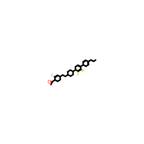 CCCC1=CCC(C2=CCC(C3CCC(CCC4C=C(F)C(C5CO5)CC4)CC3)C(F)=C2F)C=C1